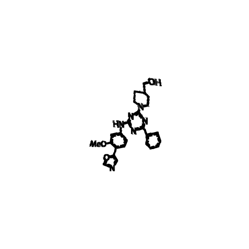 COc1cc(Nc2nc(-c3ccccc3)nc(N3CCC(CO)CC3)n2)ccc1-c1cnco1